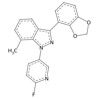 Cc1cccc2c(-c3cccc4c3OCO4)nn(-c3ccc(F)nc3)c12